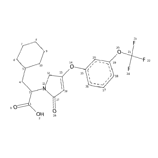 O=C(O)C(CC1CCCCC1)N1CC(Oc2cccc(OC(F)(F)F)c2)=CC1=O